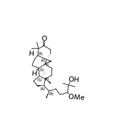 COC(CC[C@@H](C)[C@H]1CC[C@@]2(C)[C@@H]3CC[C@H]4C(C)(C)C(=O)CC[C@@]45C[C@@]35CC[C@]12C)C(C)(C)O